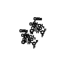 COCCNC(=O)C(Cc1ccccn1)NC(=O)[C@H](C)NC(=O)Cc1cc(F)cc(F)c1.COCCNC(=O)C(Cc1ccncc1)NC(=O)[C@H](C)NC(=O)Cc1cc(F)cc(F)c1